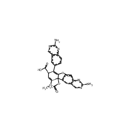 COC1=CC(C(=O)O)C(c2ccc3nc(N)ncc3c2)=C(OC)C1(OC(C)=O)c1ccc2nc(N)ncc2c1